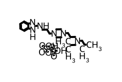 CC(C)CN(CCCN1CCN(CCCNc2nc3ccccc3[nH]2)CC1)CC(C)C.O=S(=O)(O)OS(=O)(=O)O